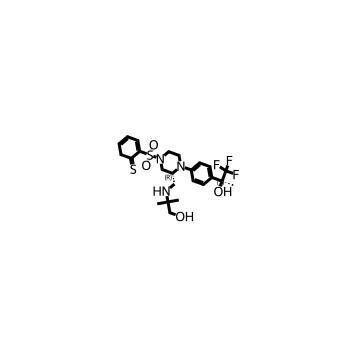 CC(C)(CO)NC[C@@H]1CN(S(=O)(=O)C2=CC=CCC2=S)CCN1c1ccc([C@](C)(O)C(F)(F)F)cc1